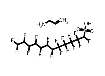 C=CCN.O=S(=O)(O)C(F)C(F)(F)C(F)(F)C(F)(F)C(F)(F)C(F)C(F)C(F)C(F)C(F)C(F)C(F)F